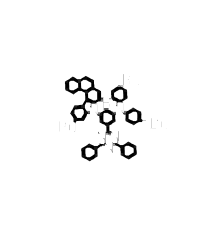 CC(C)(C)c1ccc(N2c3ccc(C(C)(C)C)cc3B3c4c2cc(-c2nc(-c5ccccc5)nc(-c5ccccc5)n2)cc4-n2c4cc(C(C)(C)C)ccc4c4c5c(ccc6ccccc65)cc3c42)cc1